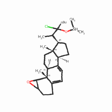 CCCCC(Cl)(O[SiH](C)C)C(C)[C@H]1CC[C@H]2C3=CC=C4CCC5OC5[C@]4(C)[C@H]3CC[C@]12C